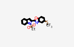 CCS(=O)(=O)n1c(-c2nc3cc(SC(F)(F)F)ccc3o2)cc2ccccc21